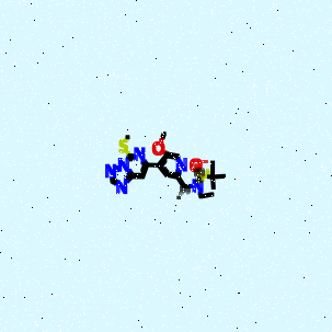 CCN([C@H](C)c1cc(-c2cc3ncnn3c(SC)n2)c(OC)cn1)[S@@+]([O-])C(C)(C)C